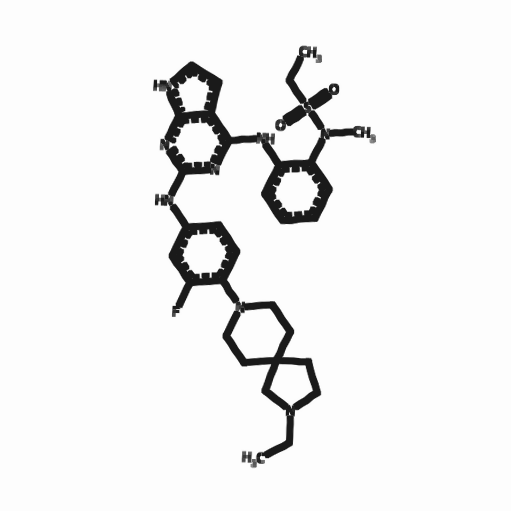 CCN1CCC2(CCN(c3ccc(Nc4nc(Nc5ccccc5N(C)S(=O)(=O)CC)c5cc[nH]c5n4)cc3F)CC2)C1